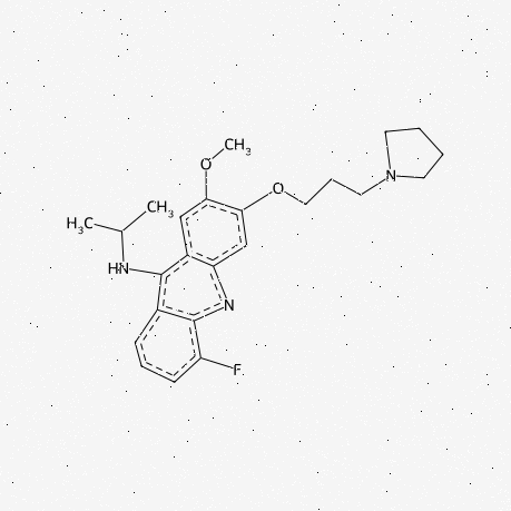 COc1cc2c(NC(C)C)c3cccc(F)c3nc2cc1OCCCN1CCCC1